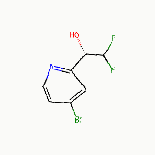 O[C@@H](c1cc(Br)ccn1)C(F)F